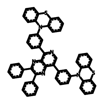 c1ccc(-c2nc3c(-c4cccc(N5c6ccccc6Sc6ccccc65)c4)cnc(-c4cccc(N5c6ccccc6Sc6ccccc65)c4)c3nc2-c2ccccc2)cc1